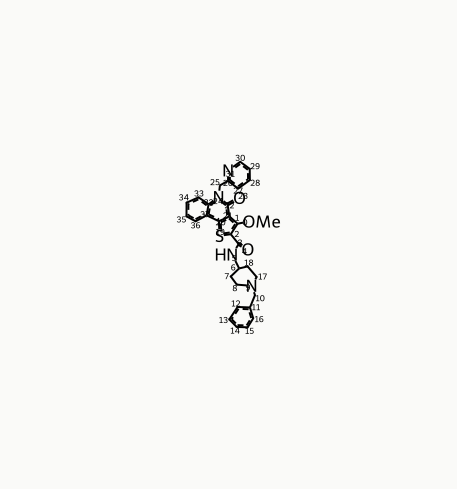 COc1c(C(=O)NC2CCN(Cc3ccccc3)CC2)sc2c1c(=O)n(Cc1ccccn1)c1ccccc21